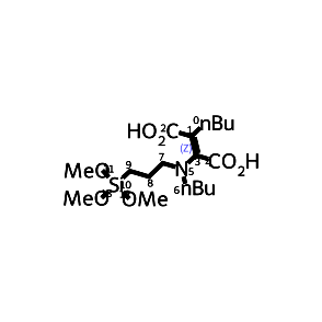 CCCC/C(C(=O)O)=C(\C(=O)O)N(CCCC)CCC[Si](OC)(OC)OC